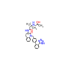 C[C@H](O)CNC(C)(C)CC(=O)N[C@@H]1CCc2ccccc2N(Cc2ccc(-c3ccccc3-c3nnn[nH]3)cc2)C1=O